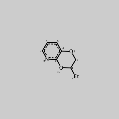 CCC1COc2cccnc2O1